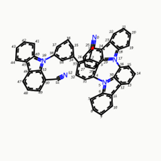 N#Cc1cc(-n2c3ccccc3c3cccc(-n4c5ccccc5c5ccccc54)c32)ccc1-c1cccc(-n2c3ccccc3c3cccc(C#N)c32)c1